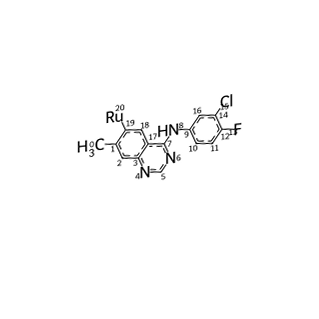 Cc1cc2ncnc(Nc3ccc(F)c(Cl)c3)c2c[c]1[Ru]